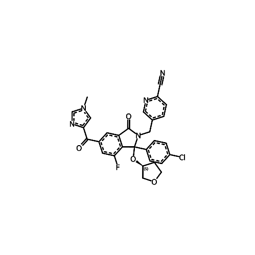 Cn1cnc(C(=O)c2cc(F)c3c(c2)C(=O)N(Cc2ccc(C#N)nc2)C3(O[C@H]2CCOC2)c2ccc(Cl)cc2)c1